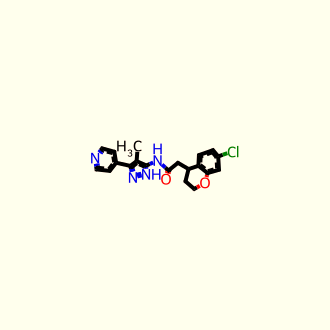 Cc1c(-c2ccncc2)n[nH]c1NC(=O)CC1CCOc2cc(Cl)ccc21